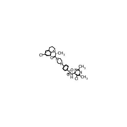 Cc1nc(C)c(Cl)c(NS(=O)(=O)c2ccc(N3CCN(C(=O)[C@@H](C)N4CCCc5cc(Cl)ccc54)CC3)cc2)n1